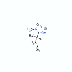 C=C[SiH2]C(C)(C)C(NCC)N(C)C